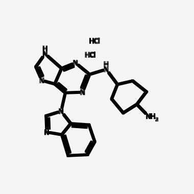 Cl.Cl.NC1CCC(Nc2nc(-n3cnc4ccccc43)c3nc[nH]c3n2)CC1